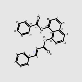 O=C(/C=C/c1ccccc1)Oc1cccc2cccc(OC(=O)c3ccccc3)c12